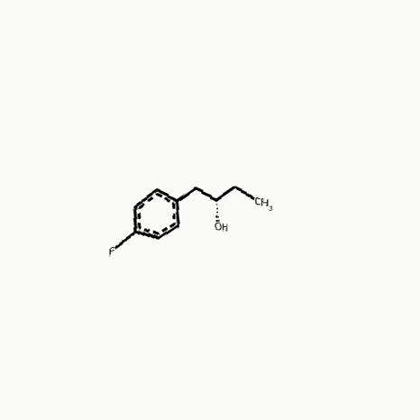 CC[C@H](O)Cc1ccc(F)cc1